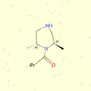 CC(C)C(=O)N1[C@H](C)CNC[C@H]1C